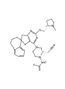 C=C(F)C(=O)N1CCN(c2nc(OC[C@@H]3CCCN3C)nc3c2CC2(CCCc4ccccc42)C3)C[C@@H]1CC#N